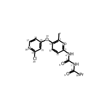 Cc1nc(NC(=O)NC(=O)C(C)C)ccc1Oc1ccnc(Cl)c1